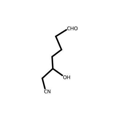 N#CCC(O)CCCC=O